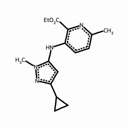 CCOC(=O)c1nc(C)ccc1Nc1cc(C2CC2)nn1C